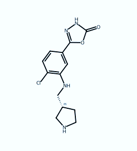 O=c1[nH]nc(-c2ccc(Cl)c(NC[C@@H]3CCNC3)c2)o1